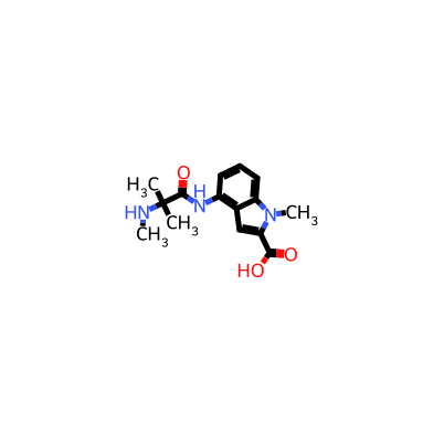 CNC(C)(C)C(=O)Nc1cccc2c1cc(C(=O)O)n2C